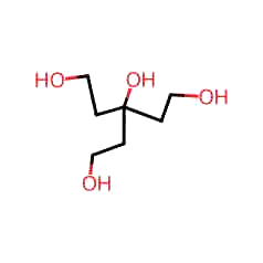 OCCC(O)(CCO)CCO